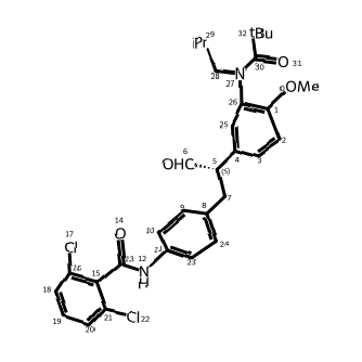 COc1ccc([C@@H](C=O)Cc2ccc(NC(=O)c3c(Cl)cccc3Cl)cc2)cc1N(CC(C)C)C(=O)C(C)(C)C